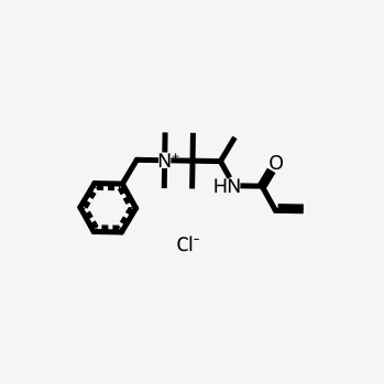 C=CC(=O)NC(C)C(C)(C)[N+](C)(C)Cc1ccccc1.[Cl-]